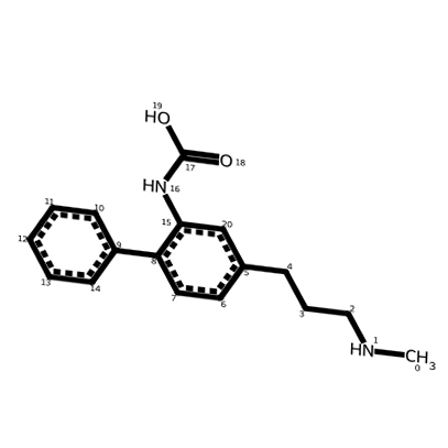 CNCCCc1ccc(-c2ccccc2)c(NC(=O)O)c1